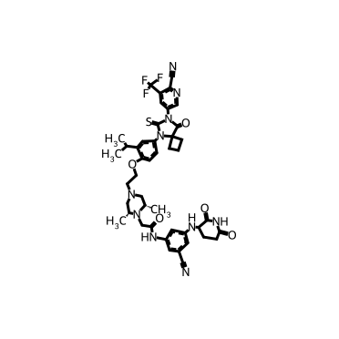 CC(C)c1cc(N2C(=S)N(c3cnc(C#N)c(C(F)(F)F)c3)C(=O)C23CCC3)ccc1OCCN1C[C@@H](C)N(CC(=O)Nc2cc(C#N)cc(NC3CCC(=O)NC3=O)c2)[C@@H](C)C1